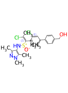 C=C(/C=C(/Cl)[C@H](C)/C(=C(\C)Cl)[S+]([O-])Nc1c(C)nn(C)c1C)c1ccc(CO)cc1